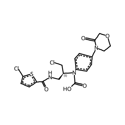 O=C(NC[C@@H](CCl)N(C(=O)O)c1ccc(N2CCOCC2=O)cc1)c1ccc(Cl)s1